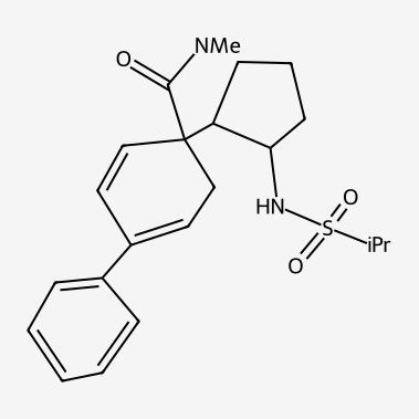 CNC(=O)C1(C2CCCC2NS(=O)(=O)C(C)C)C=CC(c2ccccc2)=CC1